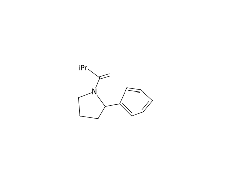 C=C(C(C)C)N1CCCC1c1ccccc1